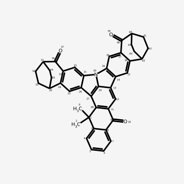 CC1(C)c2ccccc2C(=O)c2cc3c4cc5c(cc4n4c6cc7c(cc6c(c21)c34)C1CCC(CC1)C7=O)C(=O)C1CCC5CC1